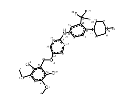 COc1cc(OC)c(Cl)c(COc2cnc(Nc3ccc(N4CCN(C)CC4)c(C(F)(F)F)c3)nc2)c1Cl